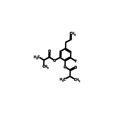 C=CCc1cc(F)c(OC(=O)C(C)C)c(OC(=O)C(C)C)c1